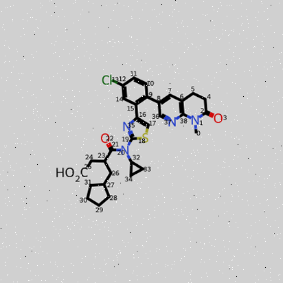 CN1C(=O)CCc2cc(-c3ccc(Cl)cc3-c3csc(N(C(=O)C(CC(=O)O)CC4CCCC4)C4CC4)n3)cnc21